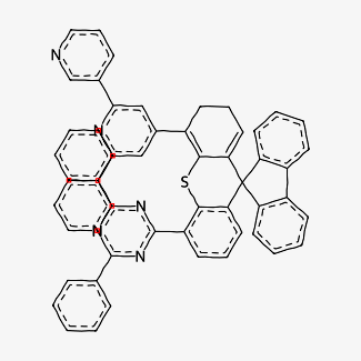 C1=C2C(=C(c3cc(-c4cccnc4)nc(-c4cccnc4)c3)CC1)Sc1c(-c3nc(-c4ccccc4)nc(-c4ccccc4)n3)cccc1C21c2ccccc2-c2ccccc21